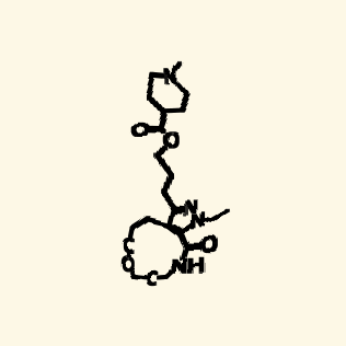 CCn1nc(CCCOC(=O)C2CCN(C)CC2)c2c1C(=O)NCCCOCCC2